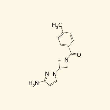 Cc1ccc(C(=O)N2CC(n3ccc(N)n3)C2)cc1